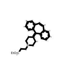 CCOC(=O)CCN1CCC(=C2c3ccccc3C=Cc3ccccc32)CC1